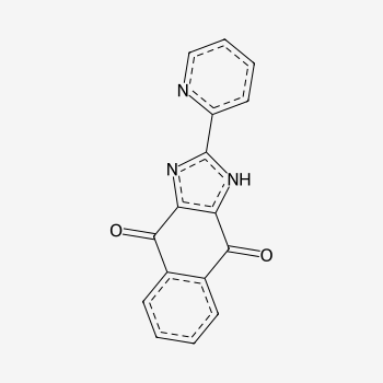 O=C1c2ccccc2C(=O)c2[nH]c(-c3ccccn3)nc21